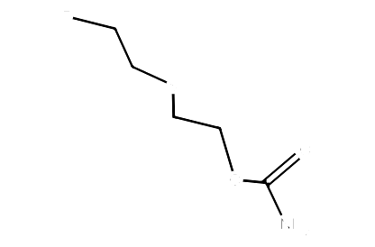 NC(=O)OCCSCCF